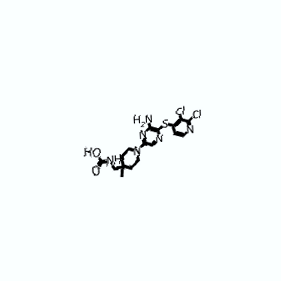 CC1(CNC(=O)O)CCN(c2cnc(Sc3ccnc(Cl)c3Cl)c(N)n2)CC1